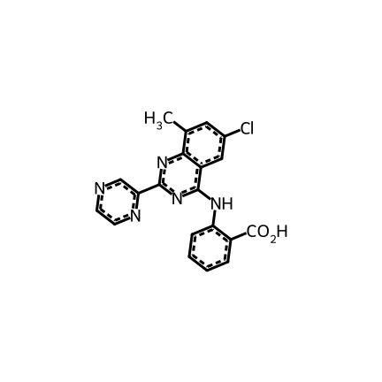 Cc1cc(Cl)cc2c(Nc3ccccc3C(=O)O)nc(-c3cnccn3)nc12